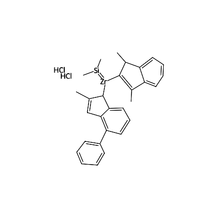 CC1=Cc2c(-c3ccccc3)cccc2[CH]1[Zr]([C]1=C(C)c2ccccc2C1C)=[Si](C)C.Cl.Cl